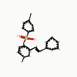 Cc1ccc(S(=O)(=O)c2ccc(C)cc2C=Cc2ccccc2)cc1